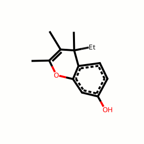 CCC1(C)C(C)=C(C)Oc2cc(O)ccc21